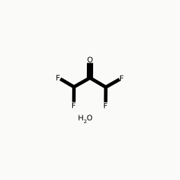 O.O=C(C(F)F)C(F)F